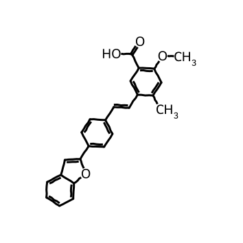 COc1cc(C)c(/C=C/c2ccc(-c3cc4ccccc4o3)cc2)cc1C(=O)O